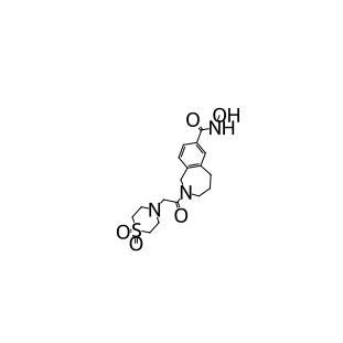 O=C(NO)c1ccc2c(c1)CCCN(C(=O)CN1CCS(=O)(=O)CC1)C2